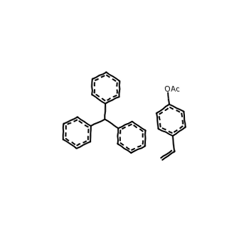 C=Cc1ccc(OC(C)=O)cc1.c1ccc(C(c2ccccc2)c2ccccc2)cc1